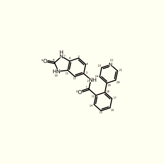 O=C(Nc1ccc2[nH]c(=O)[nH]c2c1)c1ccccc1-c1ccncc1